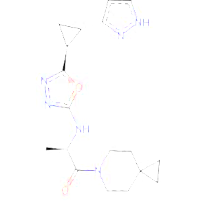 C[C@@H](Nc1nnc([C@H]2C[C@@H]2c2cc[nH]n2)o1)C(=O)N1CCC2(CC1)CC2